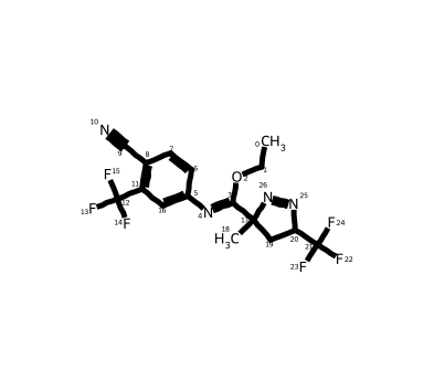 CCO/C(=N\c1ccc(C#N)c(C(F)(F)F)c1)C1(C)CC(C(F)(F)F)N=N1